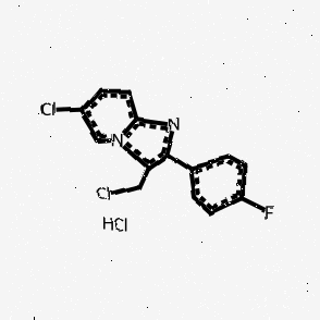 Cl.Fc1ccc(-c2nc3ccc(Cl)cn3c2CCl)cc1